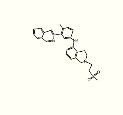 Cc1ccc(Nc2cccc3c2CCN(CCS(C)(=O)=O)C3)cc1-c1cc2ccccc2cn1